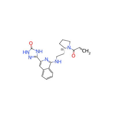 C=CC(=O)N1CCC[C@H]1CCNc1nc(-c2n[nH]c(=O)[nH]2)cc2ccccc12